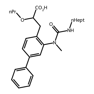 CCCCCCCNC(=O)N(C)c1cc(-c2ccccc2)ccc1CC(OCCC)C(=O)O